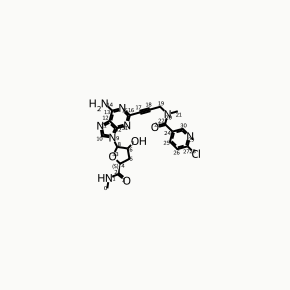 CNC(=O)[C@@H]1CC(O)C(n2cnc3c(N)nc(C#CCN(C)C(=O)c4ccc(Cl)nc4)nc32)O1